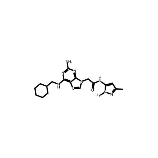 CCn1nc(C)cc1NC(=O)Cn1cnc2c(NCC3CCCCC3)nc(N)nc21